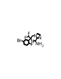 NC1=NC(c2cc(Br)ccc2F)(C(F)F)Cn2ccnc21